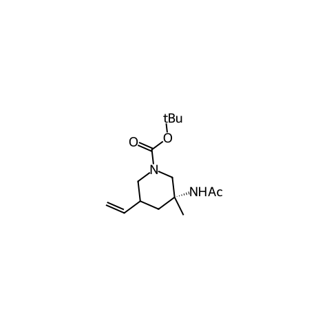 C=CC1CN(C(=O)OC(C)(C)C)C[C@](C)(NC(C)=O)C1